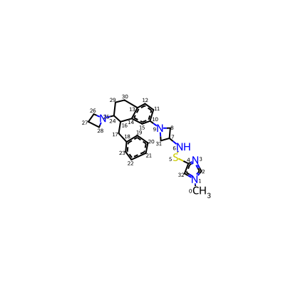 Cn1cnc(SNC2CN(c3ccc4c(c3)C(Cc3ccccc3)C(N3CCC3)CC4)C2)c1